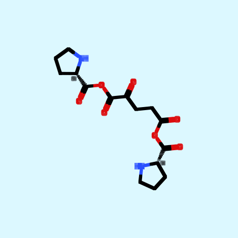 O=C(CCC(=O)C(=O)OC(=O)[C@@H]1CCCN1)OC(=O)[C@@H]1CCCN1